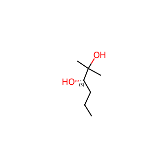 CCC[C@H](O)C(C)(C)O